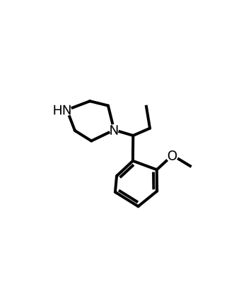 CCC(c1ccccc1OC)N1CCNCC1